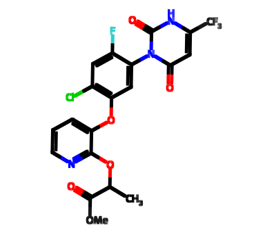 COC(=O)C(C)Oc1ncccc1Oc1cc(-n2c(=O)cc(C(F)(F)F)[nH]c2=O)c(F)cc1Cl